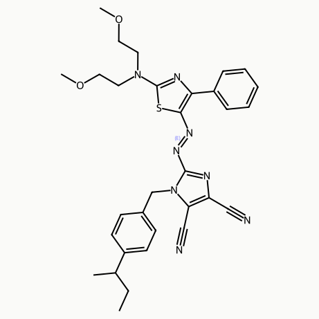 CCC(C)c1ccc(Cn2c(/N=N/c3sc(N(CCOC)CCOC)nc3-c3ccccc3)nc(C#N)c2C#N)cc1